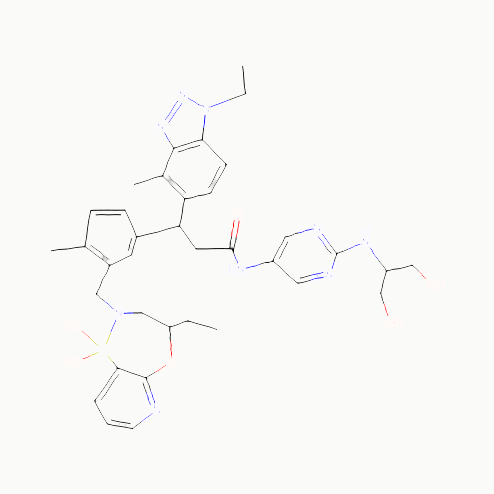 CCC1CN(Cc2cc(C(CC(=O)Nc3cnc(NC(CO)CO)nc3)c3ccc4c(nnn4CC)c3C)ccc2C)S(O)(O)c2cccnc2O1